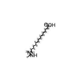 Cc1[nH]cc(CCCCCCCCCCCCCCC(=O)O)[n+]1C